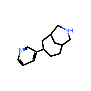 c1cncc(C2CCC3CNCC(C3)C2)c1